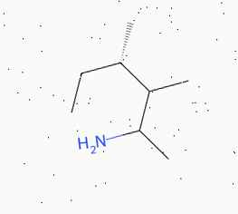 CC[C@H](C)C(C)C(C)N